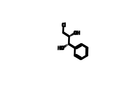 O[C@@H](CCl)[C@@H](O)c1ccccc1